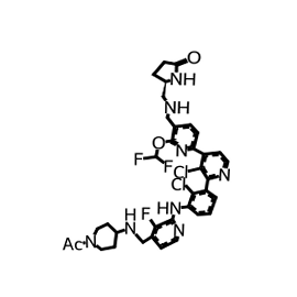 CC(=O)N1CCC(NCc2ccnc(Nc3cccc(-c4nccc(-c5ccc(CNC[C@H]6CCC(=O)N6)c(OC(F)F)n5)c4Cl)c3Cl)c2F)CC1